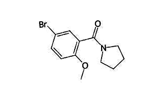 COc1ccc(Br)cc1C(=O)N1CCCC1